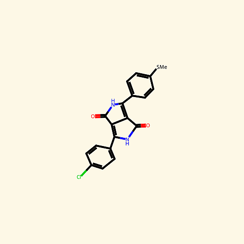 CSc1ccc(C2=C3C(=O)NC(c4ccc(Cl)cc4)=C3C(=O)N2)cc1